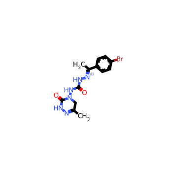 CC1=NNC(=O)N(NC(=O)N/N=C(\C)c2ccc(Br)cc2)C1